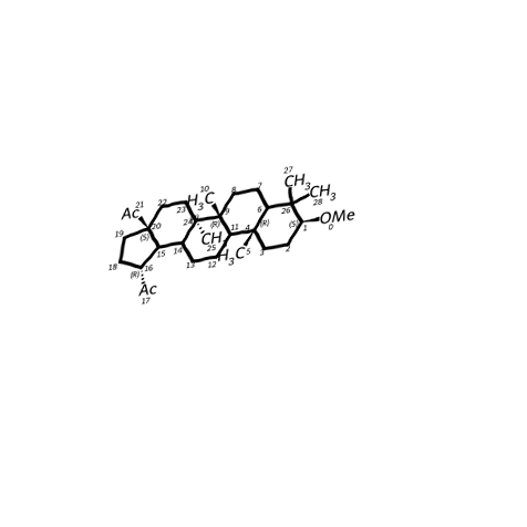 CO[C@H]1CC[C@@]2(C)C(CC[C@]3(C)C2CCC2C4[C@H](C(C)=O)CC[C@]4(C(C)=O)CC[C@]23C)C1(C)C